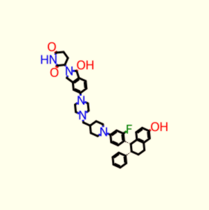 O=C1CCC(N2Cc3cc(N4CCN(CC5CCN(c6ccc([C@@H]7c8ccc(O)cc8CC[C@@H]7c7ccccc7)c(F)c6)CC5)CC4)ccc3C2O)C(=O)N1